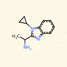 CC(N)c1nc2ccccc2n1C1CC1